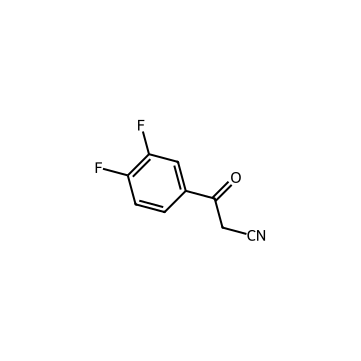 N#CCC(=O)c1ccc(F)c(F)c1